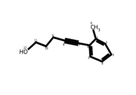 Cc1ccccc1C#CCCCO